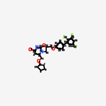 O=c1cc(COC2CCCC2)n2c(n1)OC(COc1ccc(-c3cc(F)cc(F)c3F)cc1)C2